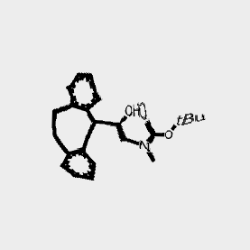 CN(C[C@H](O)C1c2ccccc2CCc2ccccc21)C(=O)OC(C)(C)C